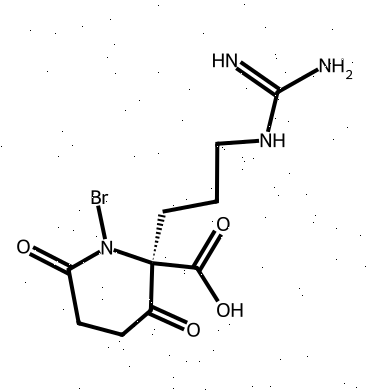 N=C(N)NCCC[C@]1(C(=O)O)C(=O)CCC(=O)N1Br